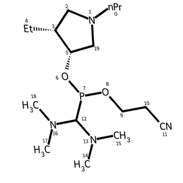 CCCN1C[C@@H](CC)[C@@H](OP(OCCC#N)C(N(C)C)N(C)C)C1